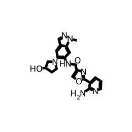 Cn1ncc2cc(N3CCC(O)C3)c(NC(=O)c3coc(-c4cccnc4N)n3)cc21